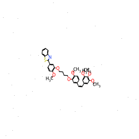 COc1ccc(/C=C\c2cc(OC)c(OC)c(OC)c2)cc1OCCCCOc1cc(-c2nc3ccccc3s2)ccc1OC